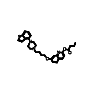 CCCC(=O)Oc1ccc2ccc(OCCCCN3CCN(c4cccc5sccc45)CC3)cc2n1